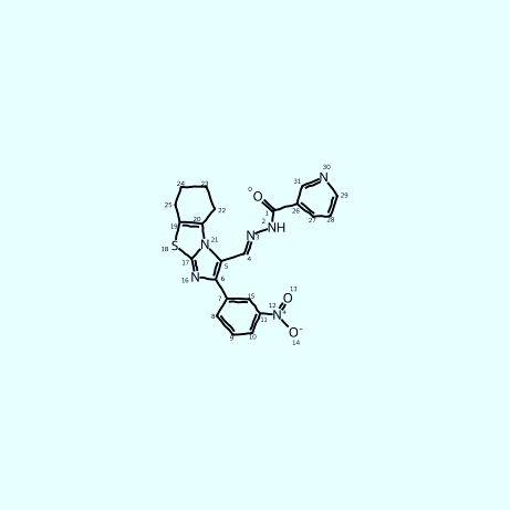 O=C(NN=Cc1c(-c2cccc([N+](=O)[O-])c2)nc2sc3c(n12)CCCC3)c1cccnc1